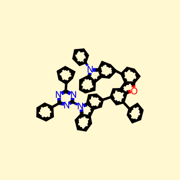 c1ccc(-c2nc(-c3ccccc3)nc(-n3c4ccccc4c4cc(-c5cc(-c6ccccc6)c6oc7cccc(-c8ccc9c(c8)c8ccccc8n9-c8ccccc8)c7c6c5)ccc43)n2)cc1